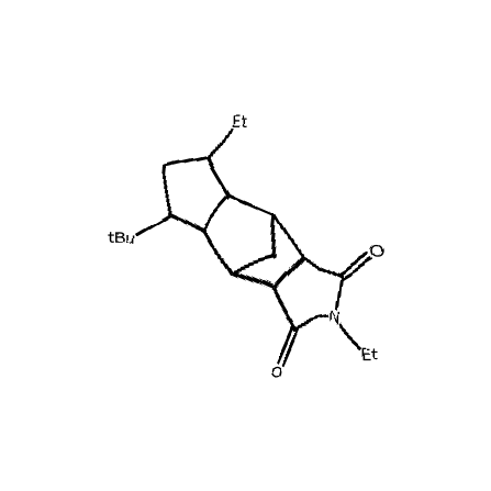 CCC1CC(C(C)(C)C)C2C3CC(C4C(=O)N(CC)C(=O)C34)C12